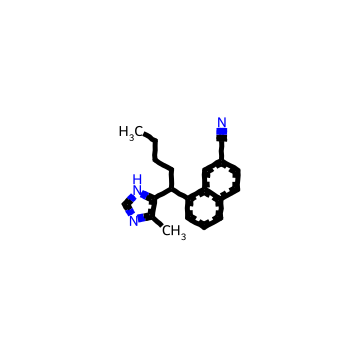 CCCCC(c1[nH]cnc1C)c1cccc2ccc(C#N)cc12